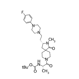 C[C@H](NC(=O)OC(C)(C)C)C(=O)N1CCC2(CC1)C[C@H](CCN1CCN(c3ccc(F)cc3)CC1)N(C)C2=O